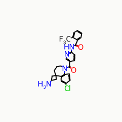 NC1CC2(CCCN(C(=O)c3ccc(NC(=O)c4ccccc4C(F)(F)F)nc3)c3ccc(Cl)cc32)C1